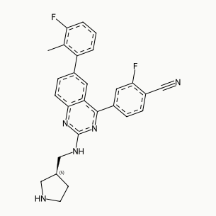 Cc1c(F)cccc1-c1ccc2nc(NC[C@H]3CCNC3)nc(-c3ccc(C#N)c(F)c3)c2c1